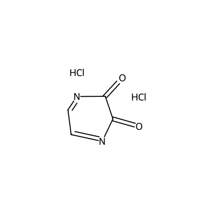 Cl.Cl.O=C1N=CC=NC1=O